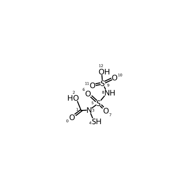 O=C(O)N(S)S(=O)(=O)NS(=O)(=O)O